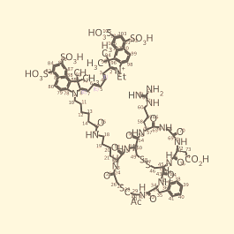 CC[N+]1=C(/C=C/C=C/C=C2/N(CCCCCC(=O)NCCCC[C@@H]3NC(=O)CSC[C@@H](C(C)=O)NC(=O)[C@H](Cc4ccccc4)NC(=O)[C@@H]4CSSC[C@H](NC3=O)C(=O)N[C@@H](CCCNC(=N)N)C(=O)NCC(=O)N[C@@H](CC(=O)O)C(=O)N4)c3ccc4c(S(=O)(=O)O)cc(S(=O)(=O)O)cc4c3C2(C)C)C(C)(C)c2c1ccc1c(S(=O)(=O)O)cc(S(=O)(=O)O)cc21